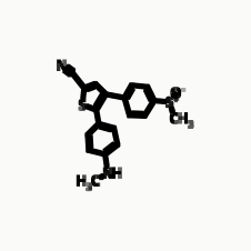 CNc1ccc(-c2sc(C#N)cc2-c2ccc([S+](C)[O-])cc2)cc1